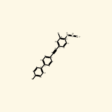 Cc1ccc(-c2ccc(C#Cc3ccc(N=C=S)c(C)c3)cc2)cc1